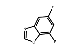 Fc1cc(F)c2ocnc2c1